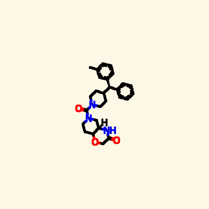 Cc1cccc([C@@H](c2ccccc2)C2CCN(C(=O)N3CCC4OCC(=O)N[C@@H]4C3)CC2)c1